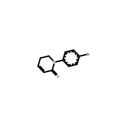 O=C1C=CCCN1c1ccc(Br)cc1